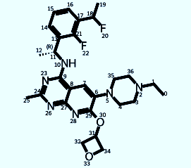 CCN1CCN(c2cc3c(N[C@H](C)c4cccc(C(C)F)c4F)nc(C)nc3nc2OC2COC2)CC1